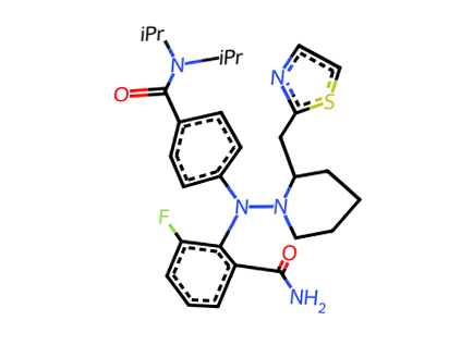 CC(C)N(C(=O)c1ccc(N(c2c(F)cccc2C(N)=O)N2CCCCC2Cc2nccs2)cc1)C(C)C